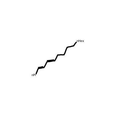 [CH2]CCCCCCCCC/C=C/C=C/CCC